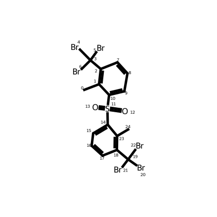 Cc1c(C(Br)(Br)Br)cccc1S(=O)(=O)c1cccc(C(Br)(Br)Br)c1C